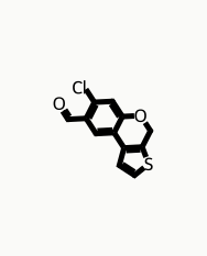 O=Cc1cc2c(cc1Cl)OCc1sccc1-2